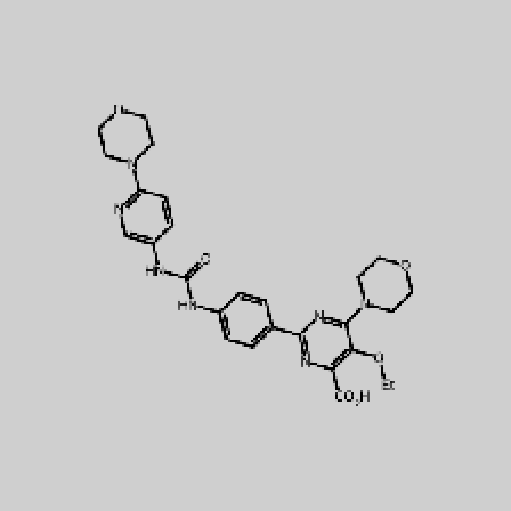 CCOc1c(C(=O)O)nc(-c2ccc(NC(=O)Nc3ccc(N4CCOCC4)nc3)cc2)nc1N1CCOCC1